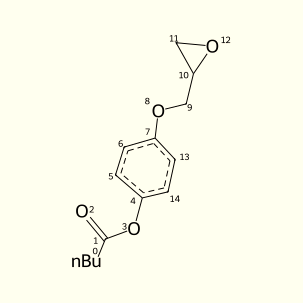 CCCCC(=O)Oc1ccc(OCC2CO2)cc1